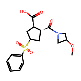 COC1CN(C(=O)[C@@H]2C[C@@H](S(=O)(=O)c3ccccc3)C[C@H]2C(=O)O)C1